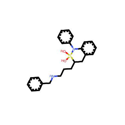 OS1(O)C(CCCNCc2ccccc2)Cc2ccccc2N1c1ccccc1